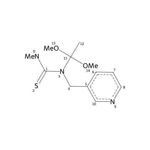 CNC(=S)N(Cc1cccnc1)C(C)(OC)OC